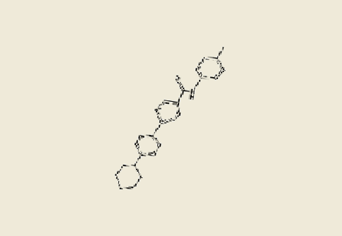 Cc1ccc(NC(=O)c2ccc(-c3ccc(C4CCCCC4)cc3)cc2)cc1